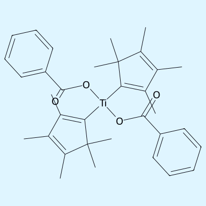 CC1=C(C)C(C)(C)[C]([Ti]([O]C(=O)c2ccccc2)([O]C(=O)c2ccccc2)[C]2=C(C)C(C)=C(C)C2(C)C)=C1C